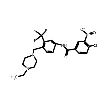 CCN1CCN(Cc2ccc(NC(=O)c3ccc(Cl)c([N+](=O)[O-])c3)cc2C(F)(F)F)CC1